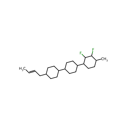 C/C=C/CC1CCC(C2CCC(C3CCC(C)C(F)C3F)CC2)CC1